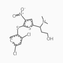 CN(C)C(CCO)c1cc([N+](=O)[O-])c(Sc2ccc(Cl)cc2Cl)s1